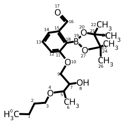 CCCCOC(C)C(O)COc1cccc(C=O)c1B1OC(C)(C)C(C)(C)O1